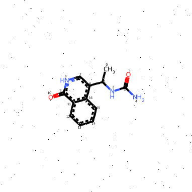 CC(NC(N)=O)c1c[nH]c(=O)c2ccccc12